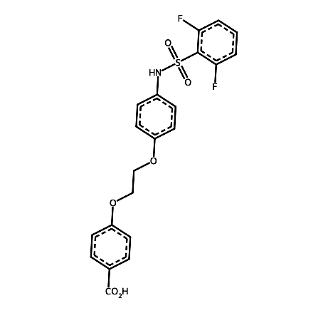 O=C(O)c1ccc(OCCOc2ccc(NS(=O)(=O)c3c(F)cccc3F)cc2)cc1